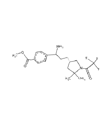 COC(=O)c1ccc(C(N)CC[C@@H]2CN(C(=O)C(F)(F)F)C(C)(C)C2)cc1